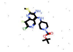 CSc1nc2c(F)c(Cl)ncc2c(NC2CCN(C(=O)OC(C)(C)C)CC2)c1N